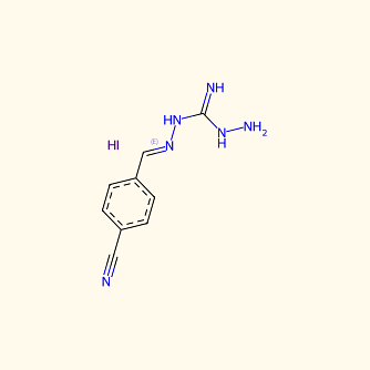 I.N#Cc1ccc(/C=N/NC(=N)NN)cc1